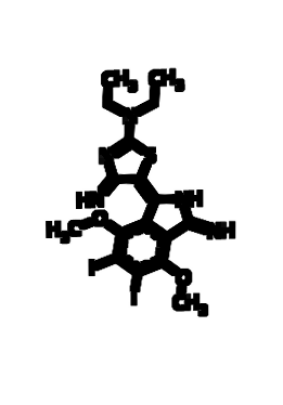 CCN(CC)C1=NC(=N)C(=C2NC(=N)c3c(OC)c(I)c(I)c(OC)c32)S1